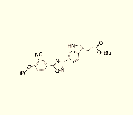 [C-]#[N+]c1cc(-c2nc(-c3ccc4c(CCC(=O)OC(C)(C)C)c[nH]c4c3)no2)ccc1OC(C)C